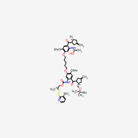 C=C1CC(C(=O)c2cc(OC)c(OCCCCCOc3cc(NC(=O)OC[C@@H](C)SSc4ncccc4[N+](=O)[O-])c(C(=O)C4CC(=C)C[C@H]4CO[Si](C)(C)C(C)(C)C)cc3OC)cc2NB(C)O)[C@H](CC)C1